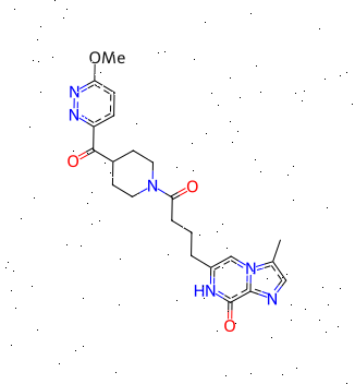 COc1ccc(C(=O)C2CCN(C(=O)CCCc3cn4c(C)cnc4c(=O)[nH]3)CC2)nn1